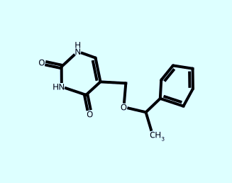 CC(OCc1c[nH]c(=O)[nH]c1=O)c1ccccc1